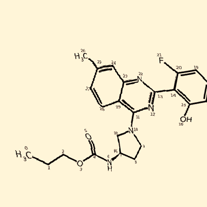 CCCOC(=O)N[C@@H]1CCN(c2nc(-c3c(O)cccc3F)nc3cc(C)ccc23)C1